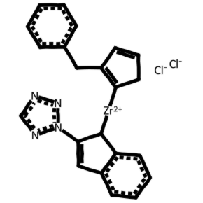 C1=CC(Cc2ccccc2)=[C]([Zr+2][CH]2C(n3ncnn3)=Cc3ccccc32)C1.[Cl-].[Cl-]